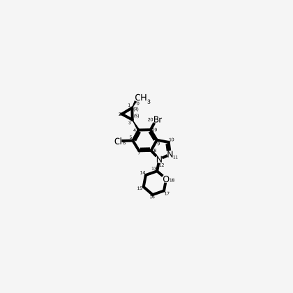 C[C@@H]1C[C@@H]1c1c(Cl)cc2c(cnn2C2CCCCO2)c1Br